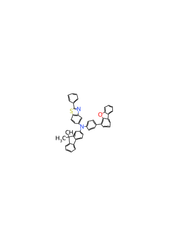 CC1(C)c2ccccc2-c2ccc(N(c3ccc(-c4cccc5c4oc4ccccc45)cc3)c3ccc4sc(-c5ccccc5)nc4c3)cc21